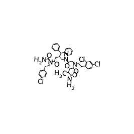 CC([CH]C(=O)N(CCc1ccc(Cl)cc1Cl)CC(=O)NCC(CC(=O)N(CCc1ccc(Cl)cc1)C(N)=O)C(c1ccccc1)c1ccccc1)C(N)=O